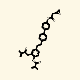 C=C(C)C(=O)Cc1cc(CCc2ccc(-c3ccc(OC(=O)CC4CO4)cc3)cc2)ccc1OC(=O)C(=C)C